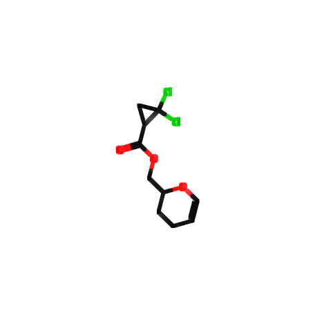 O=C(OCC1CCC=CO1)C1CC1(Cl)Cl